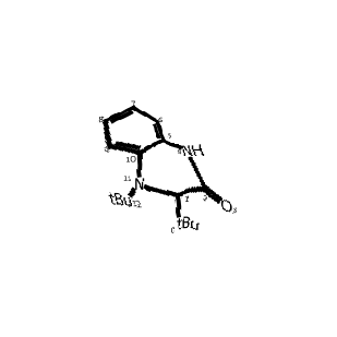 CC(C)(C)C1C(=O)Nc2ccccc2N1C(C)(C)C